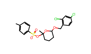 Cc1ccc(S(=O)(=O)OC2(C)CCCC(OCc3ccc(Cl)cc3Cl)O2)cc1